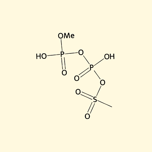 COP(=O)(O)OP(=O)(O)OS(C)(=O)=O